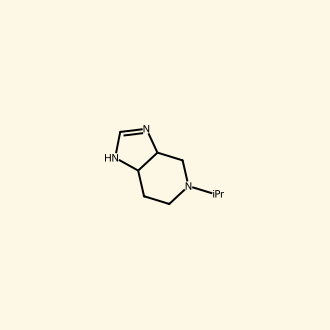 CC(C)N1CCC2NC=NC2C1